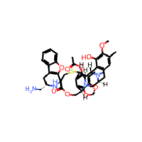 COc1c(C)cc2c(c1O)[C@H]1[C@@H]3[C@@H]4SC[C@]5(N[C@H](CN)Cc6c5oc5ccccc65)C(=O)OC[C@@H](c5c6c(c(C)c(OC(C)=O)c54)OCO6)N3[C@@H](C)[C@H](C2)N1C